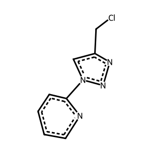 ClCc1cn(-c2ccccn2)nn1